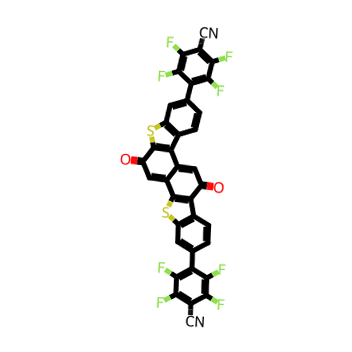 N#Cc1c(F)c(F)c(-c2ccc3c4c(sc3c2)C2=CC(=O)c3sc5cc(-c6c(F)c(F)c(C#N)c(F)c6F)ccc5c3C2=CC4=O)c(F)c1F